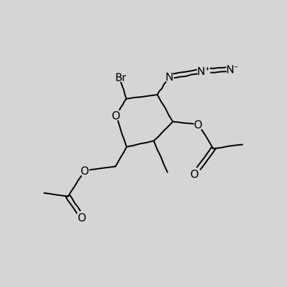 CC(=O)OCC1OC(Br)C(N=[N+]=[N-])C(OC(C)=O)C1C